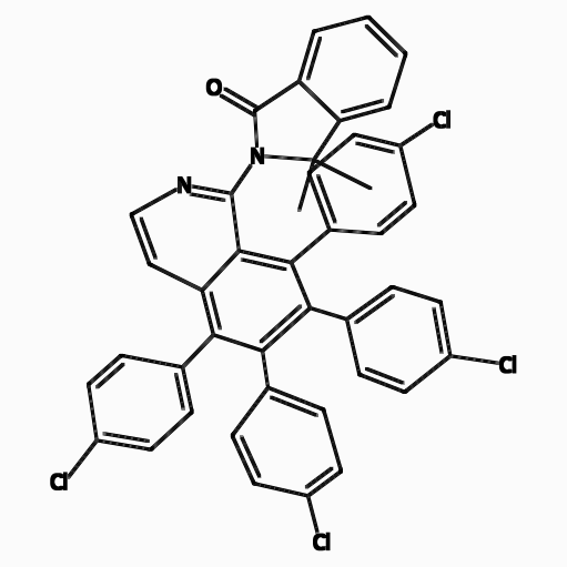 CC1(C)c2ccccc2C(=O)N1c1nccc2c(-c3ccc(Cl)cc3)c(-c3ccc(Cl)cc3)c(-c3ccc(Cl)cc3)c(-c3ccc(Cl)cc3)c12